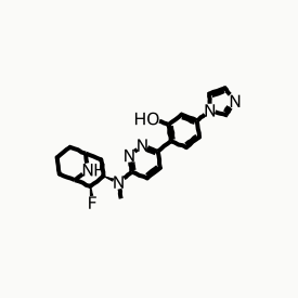 CN(c1ccc(-c2ccc(-n3ccnc3)cc2O)nn1)[C@@H]1CC2CCCC(N2)[C@@H]1F